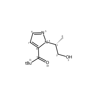 C[C@H](CO)n1nccc1C(=O)C(C)(C)C